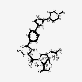 CC(C)C[C@H](NC(=O)c1ccc(-c2csc(N3CCN(C)CC3)n2)cc1)C(=O)N1C[C@@H](C=C(Br)Br)[C@H]2OCC(=O)[C@H]21